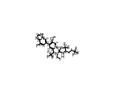 CCN(C(=O)NC(CCC(F)(F)F)C(F)(F)F)[C@@H](c1cc(-c2cc(F)c3ncnn3c2)c(OC)cn1)C(F)(F)F